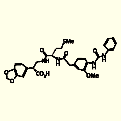 COc1cc(CC(=O)N[C@@H](CCSC)C(=O)NC[C@@H](C(=O)O)c2ccc3c(c2)OCO3)ccc1NC(=O)Nc1ccccc1